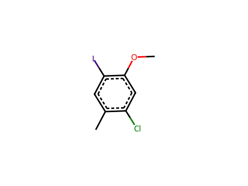 COc1cc(Cl)c(C)cc1I